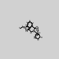 CCn1nc2c3c(cccc31)C(=O)N([C@H]1CN3CCC1CC3)C2